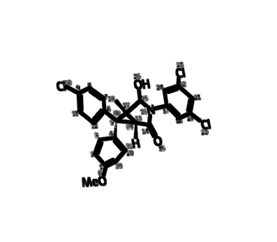 COc1ccc([C@@]2(c3ccc(Cl)cc3)[C@H]3C(=O)N(c4cc(Cl)cc(Cl)c4)C(O)[C@]32C)cc1